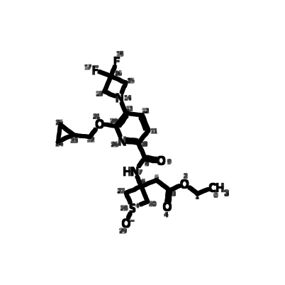 CCOC(=O)CC1(NC(=O)c2ccc(N3CC(F)(F)C3)c(OCC3CC3)n2)C[S+]([O-])C1